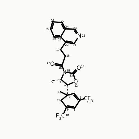 C[C@H]1[C@@H](C2(C)C=C(C(F)(F)F)C=C(C(F)(F)F)C2)OC(=O)N1C(=O)CCc1cncc2ccccc12